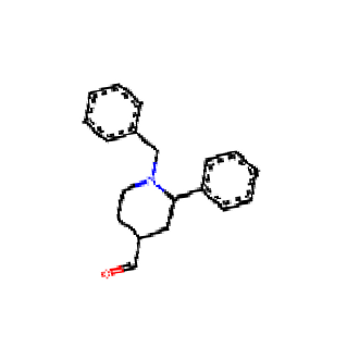 O=CC1CCN(Cc2ccccc2)C(c2ccccc2)C1